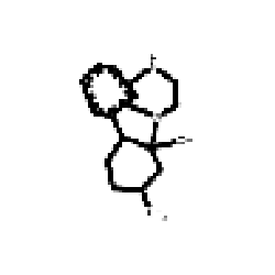 CC1CCC(c2ccccc2)C(O)(N2CCNCC2)C1